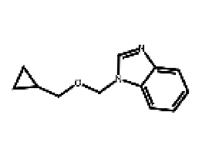 c1ccc2c(c1)ncn2COCC1CC1